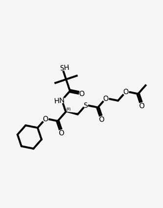 CC(=O)OCOC(=O)SC[C@H](NC(=O)C(C)(C)S)C(=O)OC1CCCCC1